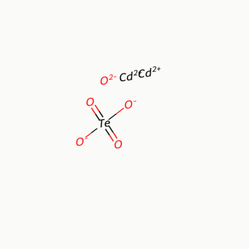 O=[Te](=O)([O-])[O-].[Cd+2].[Cd+2].[O-2]